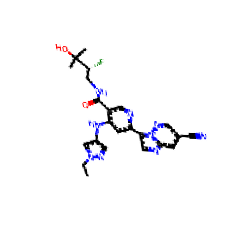 CCn1cc(Nc2cc(-c3cnc4cc(C#N)cnn34)ncc2C(=O)NC[C@@H](F)C(C)(C)O)cn1